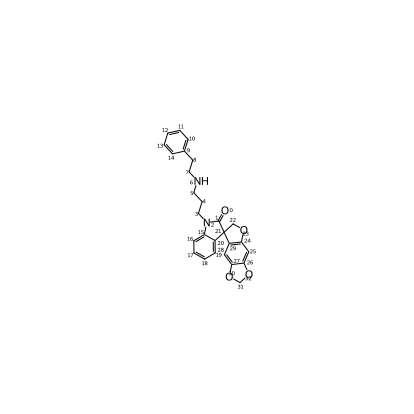 O=C1N(CCCNCCc2ccccc2)c2ccccc2C12COc1cc3c(cc12)OCO3